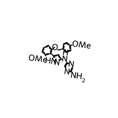 COc1ccc(COc2cccc(OC)c2-c2cc(Nc3cnc(N)cn3)n[nH]2)cc1